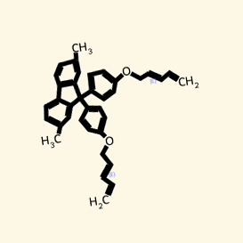 C=C/C=C/COc1ccc(C2(c3ccc(OC/C=C/C=C)cc3)c3cc(C)ccc3-c3ccc(C)cc32)cc1